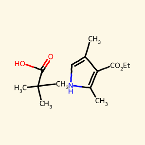 CC(C)(C)C(=O)O.CCOC(=O)c1c(C)c[nH]c1C